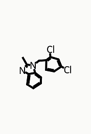 Cc1nc2ccccc2n1Cc1ccc(Cl)cc1Cl